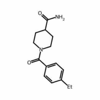 CCc1ccc(C(=O)N2CCC(C(N)=O)CC2)cc1